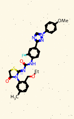 CCOCc1ccc(C)cc1N1C(=O)CS/C1=N\C(=O)Nc1ccc(-c2ncn(-c3ccc(OC)cc3)n2)cc1F